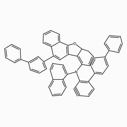 c1ccc(-c2ccc(-c3ccccc3)cc2)c(N(C2=C3c4cc(-c5cccc(-c6ccccc6)c5)c5ccccc5c4OC3CC=C2)c2cccc3ccccc23)c#1